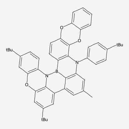 Cc1cc2c3c(c1)N(c1ccc(C(C)(C)C)cc1)c1c(ccc4c1Oc1ccccc1O4)B3N1c3ccc(C(C)(C)C)cc3Oc3cc(C(C)(C)C)cc-2c31